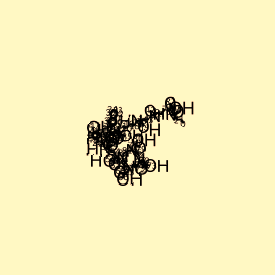 CCCC(=O)N[C@@H](CCCNC(=O)CCC(=O)NCCCC[C@@H](NC(=O)[C@@H](Cc1ccc2ccccc2c1)NC(=O)[C@@H](Cc1ccc(O)cc1)NC(=O)CCC(C(=O)O)N1CCN(CC(=O)O)CCN(CC(=O)O)CCN(CC(=O)O)CC1)C(=O)O)C(=O)O